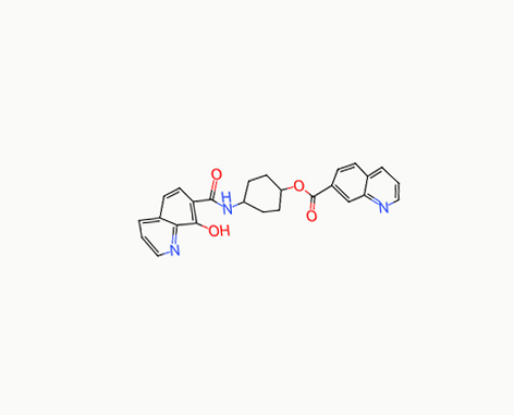 O=C(OC1CCC(NC(=O)c2ccc3cccnc3c2O)CC1)c1ccc2cccnc2c1